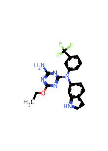 CCOc1nc(N)nc(N(c2cccc(C(F)(F)F)c2)c2ccc3cc[nH]c3c2)n1